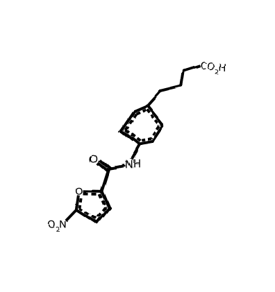 O=C(O)CCCc1ccc(NC(=O)c2ccc([N+](=O)[O-])o2)cc1